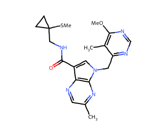 COc1ncnc(Cn2cc(C(=O)NCC3(SC)CC3)c3ncc(C)nc32)c1C